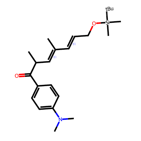 CC(/C=C/CO[Si](C)(C)C(C)(C)C)=C\C(C)C(=O)c1ccc(N(C)C)cc1